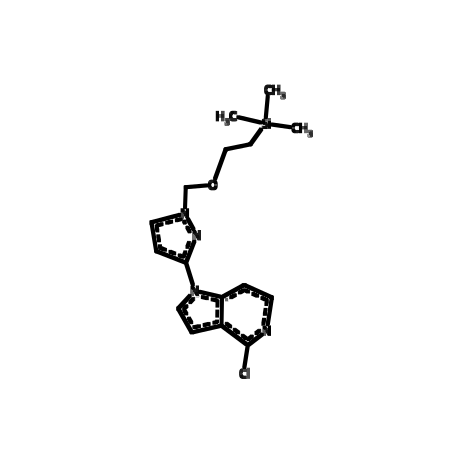 C[Si](C)(C)CCOCn1ccc(-n2ccc3c(Cl)nccc32)n1